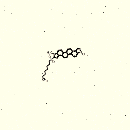 CCCCCCCCS(=O)(=O)c1cc2c3ccc4c(ccc5c4ccc4c5ccn4C)c3ccc2n1C